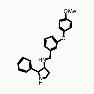 COc1ccc(Oc2cccc(CNC3CCNC3c3ccccc3)c2)cc1